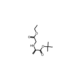 C=C(NCC(=O)OCC)C(=O)OC(C)(C)C